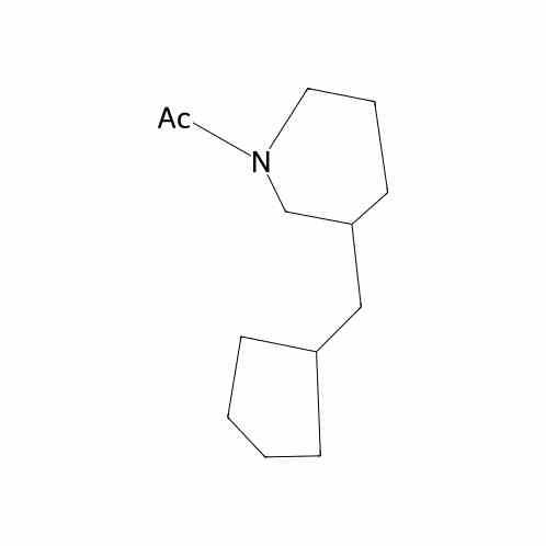 CC(=O)N1CCCC(CC2CCCC2)C1